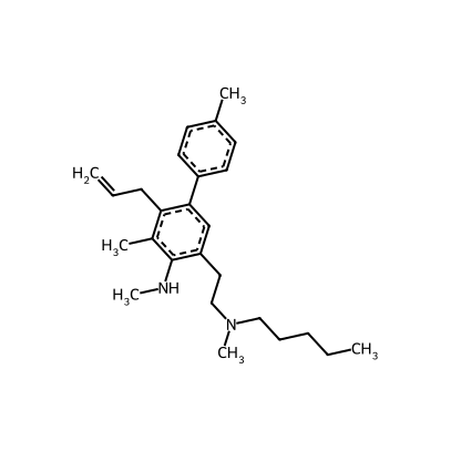 C=CCc1c(-c2ccc(C)cc2)cc(CCN(C)CCCCC)c(NC)c1C